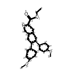 CCOC(=O)c1cc2cc(-c3ccc(OC)cc3)c(-c3ccc(OC)cc3)cc2cn1